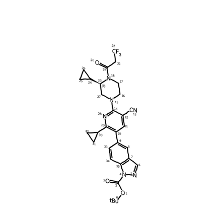 CC(C)(C)OC(=O)n1ncc2cc(-c3cc(C#N)c(N4CCN(C(=O)CC(F)(F)F)[C@H](C5CC5)C4)nc3C3CC3)ccc21